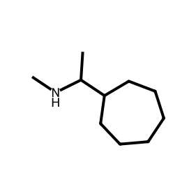 CNC(C)C1CCCCCC1